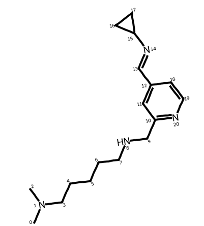 CN(C)CCCCCNCc1cc(C=NC2CC2)ccn1